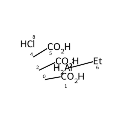 CC(=O)O.CC(=O)O.CC(=O)O.C[CH2][AlH2].Cl